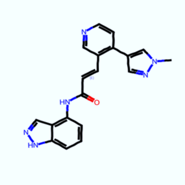 Cn1cc(-c2ccncc2/C=C/C(=O)Nc2cccc3[nH]ncc23)cn1